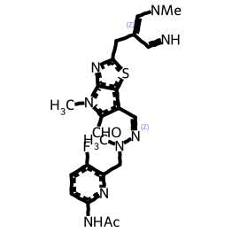 CN/C=C(\C=N)Cc1nc2c(s1)c(/C=N\N(C)Cc1nc(NC(C)=O)ccc1F)c(C=O)n2C